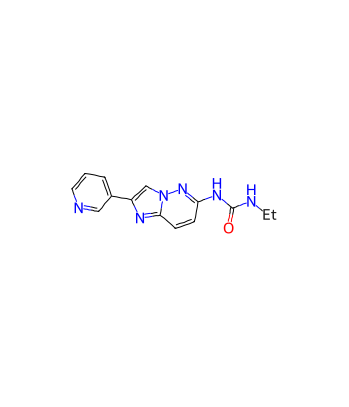 CCNC(=O)Nc1ccc2nc(-c3cccnc3)cn2n1